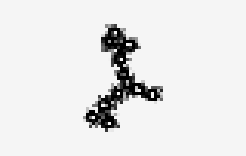 c1ccc(-c2ccc(N(c3ccc(-c4ccc5c6ccccc6c6ccccc6c5c4)cc3)c3ccc(-c4ccc5c(c4)c4ccccc4n5-c4cccc5ccccc45)cc3)cc2)cc1